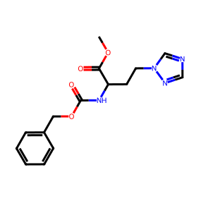 COC(=O)C(CCn1cncn1)NC(=O)OCc1ccccc1